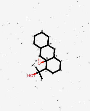 CC(C)C(C)(O)C1CCCC2CC3CCCCC3CC21O